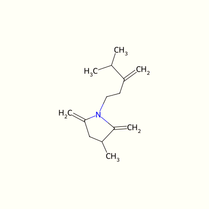 C=C(CCN1C(=C)CC(C)C1=C)C(C)C